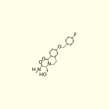 NC(=O)[C@H](CO)N1CCc2cc(OCc3ccc(F)cc3)ccc2C1=O